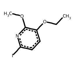 CCOc1ccc(I)nc1OC